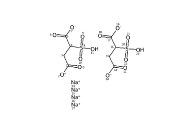 O=C([O-])CC(C(=O)[O-])S(=O)(=O)O.O=C([O-])CC(C(=O)[O-])S(=O)(=O)O.[Na+].[Na+].[Na+].[Na+]